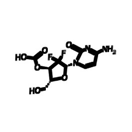 Nc1ccn([C@@H]2O[C@H](CO)[C@@H](OC(=O)O)C2(F)F)c(=O)n1